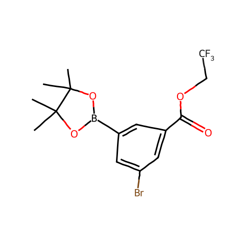 CC1(C)OB(c2cc(Br)cc(C(=O)OCC(F)(F)F)c2)OC1(C)C